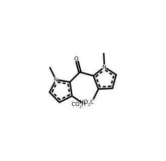 Cn1ccc(C(=O)O)c1C(=O)c1c(C(=O)O)ccn1C